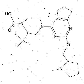 CN1CCCC1COc1nc2c(c(N3CCN(C(=O)O)C(C(C)(C)C)C3)n1)CCC2